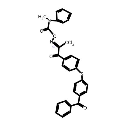 CN(C(=O)O/N=C(/C(=O)c1ccc(Sc2ccc(C(=O)c3ccccc3)cc2)cc1)C(Cl)(Cl)Cl)c1ccccc1